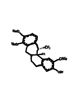 COc1cc2c(cc1OC)[C@H]1[C@@H](C)c3ccc(OC)c(OC)c3CN1CC2